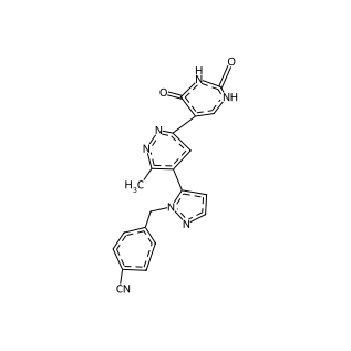 Cc1nnc(-c2c[nH]c(=O)[nH]c2=O)cc1-c1ccnn1Cc1ccc(C#N)cc1